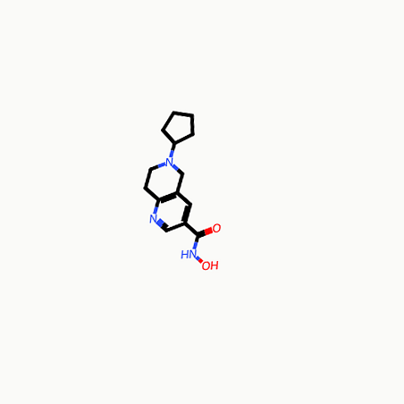 O=C(NO)c1cnc2c(c1)CN(C1CCCC1)CC2